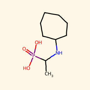 CC(NC1CCCCCC1)P(=O)(O)O